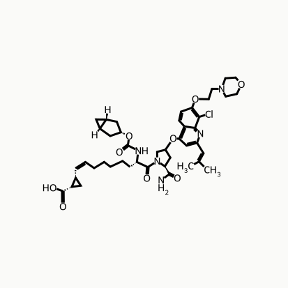 CC(C)=Cc1cc(OC2C[C@@H](C(N)=O)N(C(=O)[C@H](CCCCC/C=C\[C@@H]3C[C@@H]3C(=O)O)NC(=O)O[C@@H]3C[C@@H]4C[C@@H]4C3)C2)c2ccc(OCCN3CCOCC3)c(Cl)c2n1